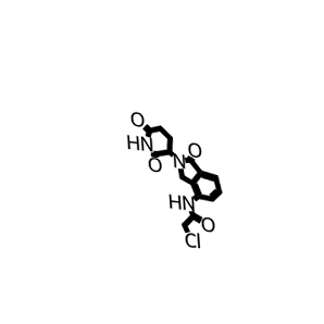 O=C1CCC(N2Cc3c(NC(=O)CCl)cccc3C2=O)C(=O)N1